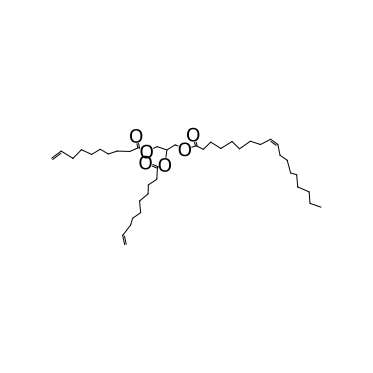 C=CCCCCCCCC(=O)OCC(COC(=O)CCCCCCC/C=C\CCCCCCCC)OC(=O)CCCCCCCC=C